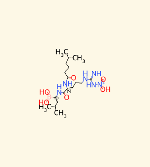 CC(C)CCCC(=O)N[C@@H](CCCNC(=N)N[N+](=O)O)C(=O)N[C@@H](CC(C)C)B(O)O